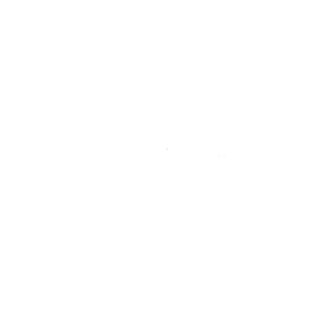 Cc1ccc(OCC2CCCCO2)cc1[C]=O